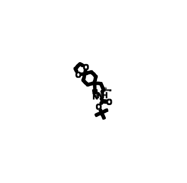 C[C@@H](CC1(C#N)CCC2(CC1)OCCO2)NC(=O)OC(C)(C)C